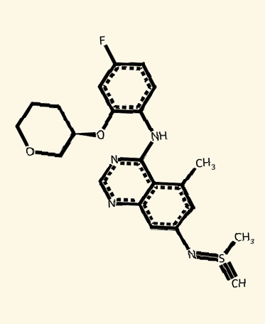 C#S(/C)=N/c1cc(C)c2c(Nc3ccc(F)cc3O[C@@H]3CCCOC3)ncnc2c1